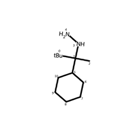 CC(C)(C)C(C)(NN)C1CCCCC1